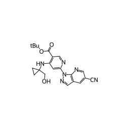 CC(C)(C)OC(=O)c1cnc(-n2ncc3cc(C#N)cnc32)cc1NC1(CO)CC1